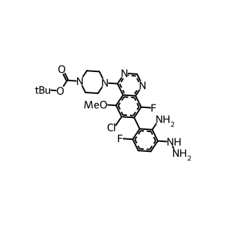 COc1c(Cl)c(-c2c(F)ccc(NN)c2N)c(F)c2ncnc(N3CCN(C(=O)OC(C)(C)C)CC3)c12